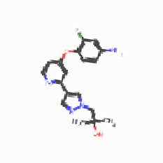 CC(C)(O)Cn1cc(-c2cc(Oc3ccc(N)cc3F)ccn2)cn1